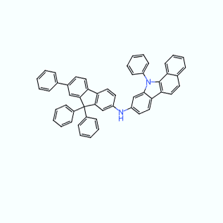 c1ccc(-c2ccc3c(c2)C(c2ccccc2)(c2ccccc2)c2cc(Nc4ccc5c6ccc7ccccc7c6n(-c6ccccc6)c5c4)ccc2-3)cc1